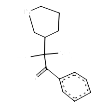 CC(C(=O)c1ccccc1)(C1CCCNC1)[N+](=O)[O-]